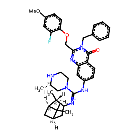 COc1ccc(OCc2nc3cc(N/C(=N/C4C[C@H]5C[C@@H]([C@@H]4C)C5(C)C)N4CCN[C@@H](C)C4)ccc3c(=O)n2Cc2ccccc2)c(F)c1